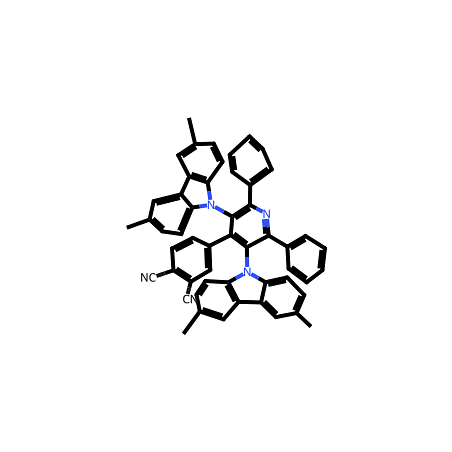 Cc1ccc2c(c1)c1cc(C)ccc1n2-c1c(-c2ccccc2)nc(-c2ccccc2)c(-n2c3ccc(C)cc3c3cc(C)ccc32)c1-c1ccc(C#N)c(C#N)c1